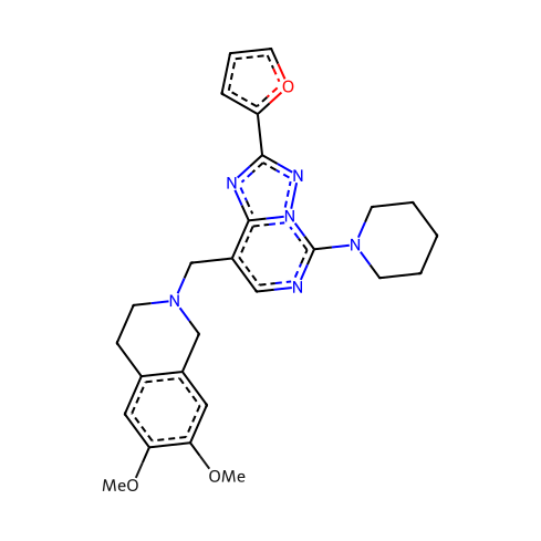 COc1cc2c(cc1OC)CN(Cc1cnc(N3CCCCC3)n3nc(-c4ccco4)nc13)CC2